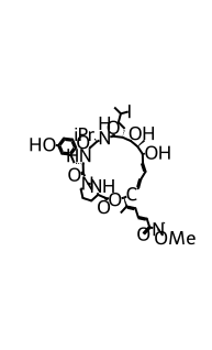 CON(C)C(=O)/C=C/C=C(\C)[C@@H]1C/C=C/C=C/[C@H](O)[C@H](C)[C@@H](O)[C@@H](CCC(C)I)C(=O)N[C@@H](C(C)C)C(=O)N[C@@H](Cc2cccc(O)c2)C(=O)N2CCCC(N2)C(=O)O1